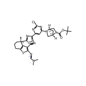 CN(C)/C=N/c1sc2c(c1C#N)[C@@](C)(c1nc(-c3cc(N4C[C@@H]5C[C@H]4CN5C(=O)OC(C)(C)C)nc(Cl)n3)no1)CCC2